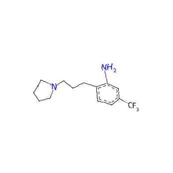 Nc1cc(C(F)(F)F)ccc1CCCN1CCCC1